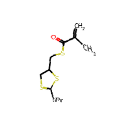 C=C(C)C(=O)SCC1CSC(CCC)S1